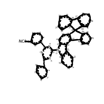 N#Cc1cccc(-c2nc(-c3ccccc3)nc(-n3c4ccccc4c4c5c(ccc43)C3(c4ccccc4-c4ccccc43)c3ccccc3-5)n2)c1